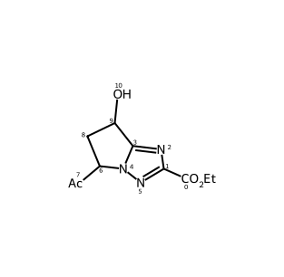 CCOC(=O)c1nc2n(n1)C(C(C)=O)CC2O